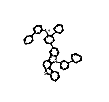 c1ccc(-c2cccc(Nc3ccc(-c4ccc5c(c4)c4ccc6sc7ccccc7c6c4n5-c4cccc(-c5ccccc5)c4)cc3-c3ccccc3)c2)cc1